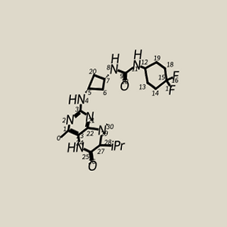 Cc1nc(N[C@H]2C[C@@H](NC(=O)NC3CCC(F)(F)CC3)C2)nc2c1NC(=O)C(C(C)C)N2C